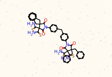 NC(=S)C1(C(N)=S)C(=O)N(c2ccc(Cc3ccc(N4C(=O)C(Cc5ccccc5)(Cc5ccccc5)C(C(N)=S)(C(N)=S)C4=O)cc3)cc2)C(=O)C1(Cc1ccccc1)Cc1ccccc1